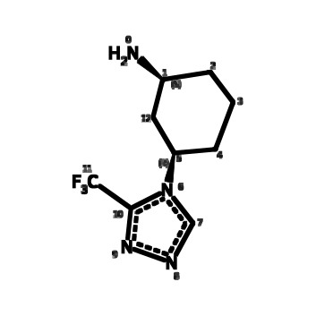 N[C@H]1CCC[C@@H](n2cnnc2C(F)(F)F)C1